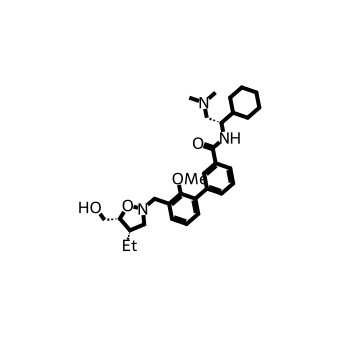 CC[C@H]1CN(Cc2cccc(-c3cccc(C(=O)N[C@H](CN(C)C)C4CCCCC4)c3)c2OC)O[C@H]1CO